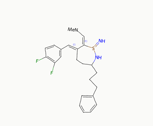 CN/C=C1\C(=C\c2ccc(F)c(F)c2)CCC(CCCc2ccccc2)NS1=N